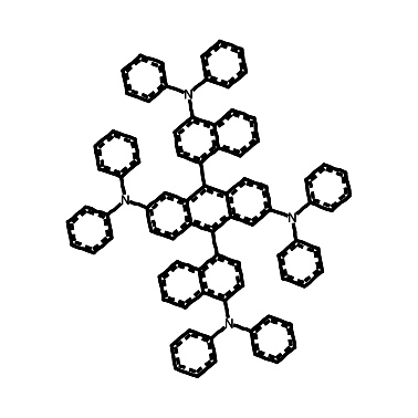 c1ccc(N(c2ccccc2)c2ccc3c(-c4ccc(N(c5ccccc5)c5ccccc5)c5ccccc45)c4cc(N(c5ccccc5)c5ccccc5)ccc4c(-c4ccc(N(c5ccccc5)c5ccccc5)c5ccccc45)c3c2)cc1